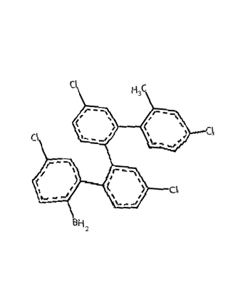 Bc1ccc(Cl)cc1-c1ccc(Cl)cc1-c1ccc(Cl)cc1-c1ccc(Cl)cc1C